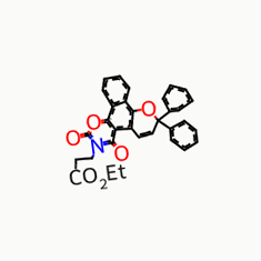 CCOC(=O)CCn1c(=O)oc2c(c3c(c4ccccc42)OC(c2ccccc2)(c2ccccc2)C=C3)c1=O